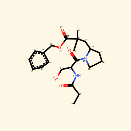 CCC(=O)NC(CO)C(=O)N1CCCC1CC(C)(C)C(=O)OCc1ccccc1